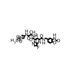 C[C@H](NC(=O)c1cc(C(=O)NCc2ccc3oc(=O)[nH]c3c2)nc2c(F)cnn12)C(=O)NC1CN(S(C)(=O)=O)C1